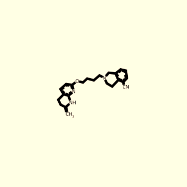 C=C1CCc2ccc(OCCCCN3CCc4c(C#N)cccc4C3)nc2N1